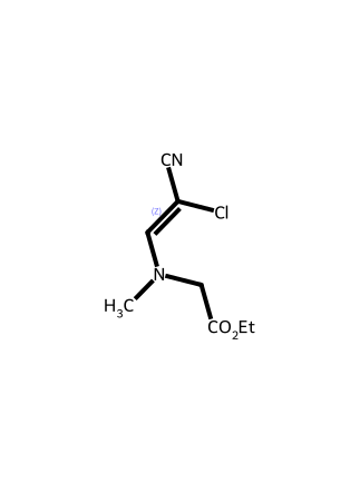 CCOC(=O)CN(C)/C=C(\Cl)C#N